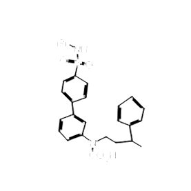 CC(C)NS(=O)(=O)c1ccc(-c2cccc(N(CCC(C)c3ccccc3)C(=O)O)c2)cc1